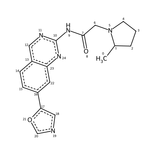 CC1CCCN1CC(=O)Nc1ncc2ccc(-c3cnco3)cc2n1